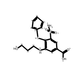 NS(=O)(=O)c1cc(C(=O)O)cc(NCCCO)c1Sc1ccccc1